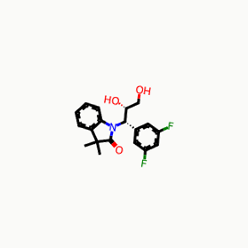 CC1(C)C(=O)N([C@@H](c2cc(F)cc(F)c2)[C@H](O)CO)c2ccccc21